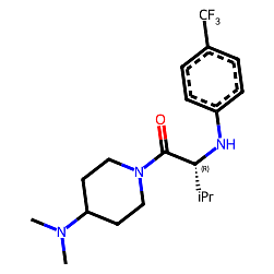 CC(C)[C@@H](Nc1ccc(C(F)(F)F)cc1)C(=O)N1CCC(N(C)C)CC1